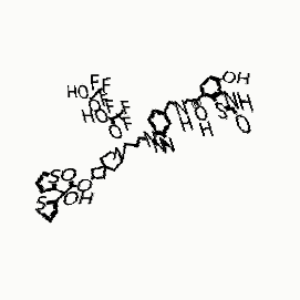 O=C(O)C(F)(F)F.O=C(O)C(F)(F)F.O=C(OC1CC2(CCN(CCCn3nnc4cc(CNC[C@H](O)c5ccc(O)c6[nH]c(=O)sc56)ccc43)CC2)C1)C(O)(c1cccs1)c1cccs1